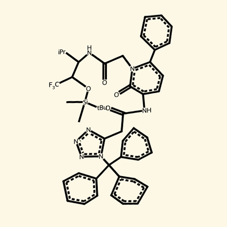 CC(C)C(NC(=O)Cn1c(-c2ccccc2)ccc(NC(=O)Cc2nnnn2C(c2ccccc2)(c2ccccc2)c2ccccc2)c1=O)C(O[Si](C)(C)C(C)(C)C)C(F)(F)F